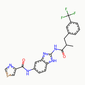 CC(Cc1cccc(C(F)(F)F)c1)C(=O)Nc1nc2cc(NC(=O)c3cscn3)ccc2[nH]1